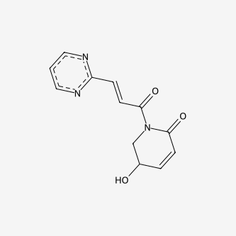 O=C(C=Cc1ncccn1)N1CC(O)C=CC1=O